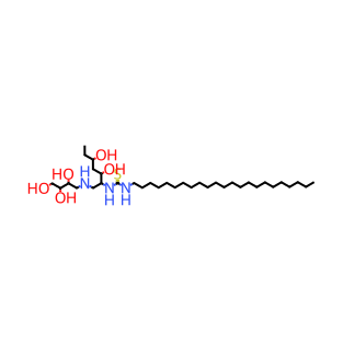 CCCCCCCCCCCCCCCCCCCCCCCNC(=S)NC(CNCC(O)C(O)CO)C(O)CC(O)CC